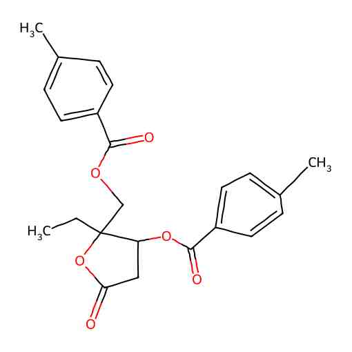 CCC1(COC(=O)c2ccc(C)cc2)OC(=O)CC1OC(=O)c1ccc(C)cc1